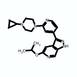 CC(C)Oc1cc2c(-c3ccnc(N4CCN(C5CC5)CC4)c3)n[nH]c2cn1